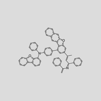 C=C(/N=C(\C=C(/C)c1cc(-c2ccc(N(c3ccccc3)c3cccc4c3oc3ccccc34)cc2)c2c(c1)oc1cc3ccccc3cc12)c1ccccc1)c1ccccc1